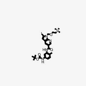 Cc1ccc(NC(=O)OC(C)(C)C)cc1NC(=O)c1cnc2c(c1)cc(I)n2COCC[Si](C)(C)C